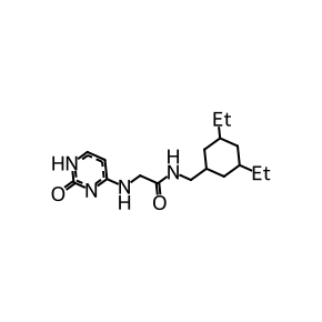 CCC1CC(CC)CC(CNC(=O)CNc2cc[nH]c(=O)n2)C1